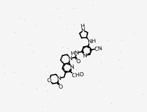 N#Cc1cnc(NC(=O)N2CCCc3cc(CN4CCOCC4=O)c(C=O)nc32)cc1NC1CCNC1